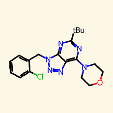 CC(C)(C)c1nc(N2CCOCC2)c2nnn(Cc3ccccc3Cl)c2n1